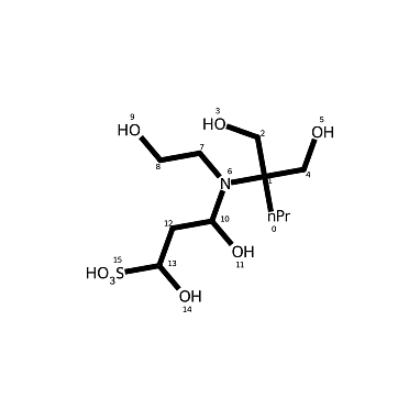 CCCC(CO)(CO)N(CCO)C(O)CC(O)S(=O)(=O)O